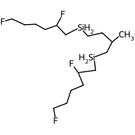 CC(CC[SiH2]CC(F)CCCCF)C[SiH2]CC(F)CCCCF